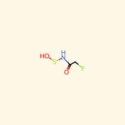 O=C(CF)NSO